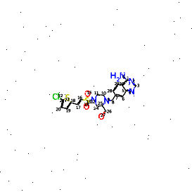 Nc1ncnc2cc(CN3CCN(S(=O)(=O)C=Cc4ccc(Cl)s4)CC3C=O)ccc12